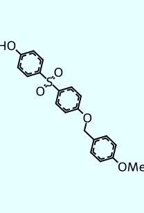 COc1ccc(COc2ccc(S(=O)(=O)c3ccc(O)cc3)cc2)cc1